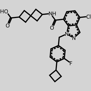 O=C(NC1CC2(C1)CC(C(=O)O)C2)c1ccc(Cl)c2cnn(Cc3ccc(C4CCC4)c(F)c3)c12